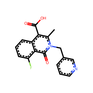 Cc1c(C(=O)O)c2cccc(F)c2c(=O)n1Cc1cccnc1